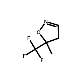 CC1(C(F)(F)F)CC=NO1